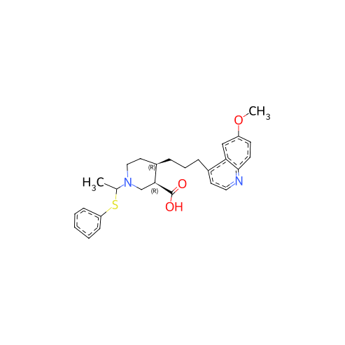 COc1ccc2nccc(CCC[C@@H]3CCN(C(C)Sc4ccccc4)C[C@@H]3C(=O)O)c2c1